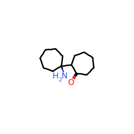 NC1(C2CCCCCC2=O)CCCCCC1